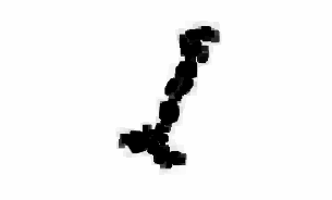 CCC(C)n1cnn(-c2ccc(N3CCN(c4ccc(OCC5COC(Cn6cnc(Br)n6)(c6ccc(F)cc6F)O5)cc4)CC3)cc2)c1=O